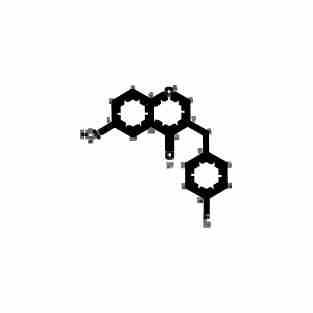 Nc1ccc2occ(Cc3ccc(F)cc3)c(=O)c2c1